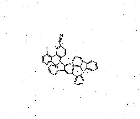 N#Cc1ccc(-n2c3ccccc3c3cc(-c4ccccc4-n4c5ccccc5c5ccccc54)ccc32)c(-c2c(F)cccc2F)c1